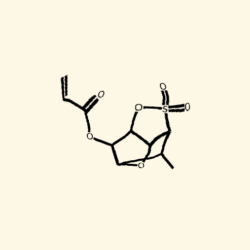 C=CC(=O)OC1C2OC3C1OS(=O)(=O)C3C2C